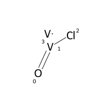 [O]=[V][Cl].[V]